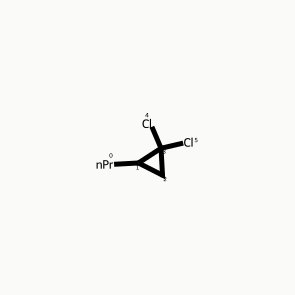 CCCC1CC1(Cl)Cl